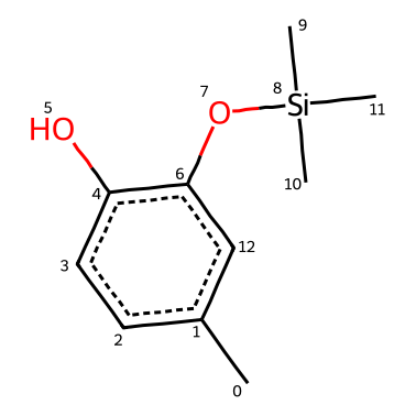 Cc1ccc(O)c(O[Si](C)(C)C)c1